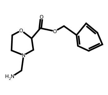 NCN1CCOC(C(=O)OCc2ccccc2)C1